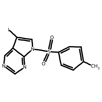 Cc1ccc(S(=O)(=O)n2cc(I)c3cncnc32)cc1